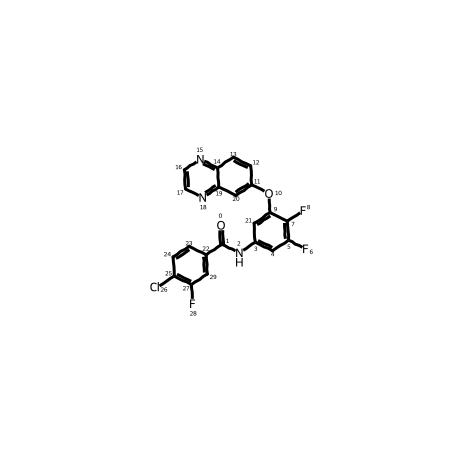 O=C(Nc1cc(F)c(F)c(Oc2ccc3nccnc3c2)c1)c1ccc(Cl)c(F)c1